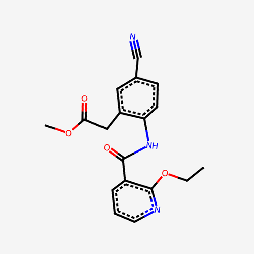 CCOc1ncccc1C(=O)Nc1ccc(C#N)cc1CC(=O)OC